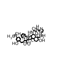 C=C1C(NC(C)C(=O)NC2=NCC=N2)CC2[C@](C)(CC[C@@H](O)[C@@]2(C)CO)C1CC(Nc1ccccn1)C1=C/C(=C\c2ccc(N(C)C)cc2O)OC1=O